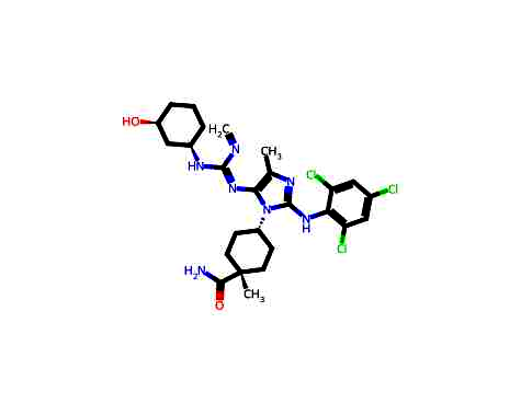 C=N/C(=N\c1c(C)nc(Nc2c(Cl)cc(Cl)cc2Cl)n1[C@H]1CC[C@@](C)(C(N)=O)CC1)N[C@@H]1CCC[C@H](O)C1